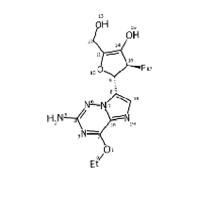 CCOc1nc(N)nn2c([C@@H]3OC(CO)=C(O)[C@H]3F)cnc12